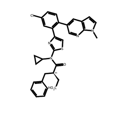 Cn1ccc2cc(-c3ccc(Cl)cc3-c3csc(N(C(=O)[C@@H](CC(=O)O)Cc4ccccc4)C4CC4)n3)cnc21